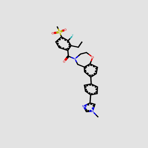 CCc1c(C(=O)N2CCOc3ccc(-c4ccc(-c5cn(C)cn5)cc4)cc3C2)ccc(S(C)(=O)=O)c1F